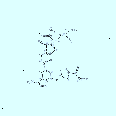 Cn1ccc2c(O[C@@H]3CCN(C(=O)OC(C)(C)C)C3)cc(-c3ccc4c(c3)CN([C@@H](CCC(=O)OC(C)(C)C)C(N)=O)C4=O)nc21